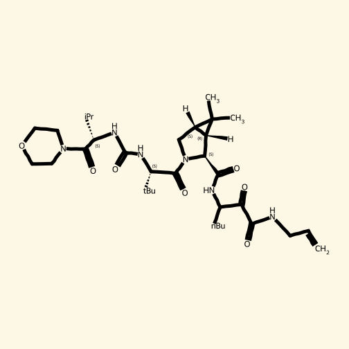 C=CCNC(=O)C(=O)C(CCCC)NC(=O)[C@@H]1[C@@H]2[C@H](CN1C(=O)[C@@H](NC(=O)N[C@H](C(=O)N1CCOCC1)C(C)C)C(C)(C)C)C2(C)C